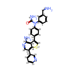 NCc1cccc(N(C(N)=O)c2ccc(-c3csc4c(-c5cccnc5)cnc(N)c34)cc2)c1